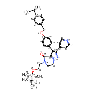 CC(C)c1ccc(COc2ccc(-c3c(-c4ccncc4)nn4c3C(=O)N(CCO[Si](C)(C)C(C)(C)C)CC4)cc2)cc1